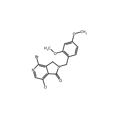 COc1ccc(CN2Cc3c(Br)ncc(Cl)c3C2=O)c(OC)c1